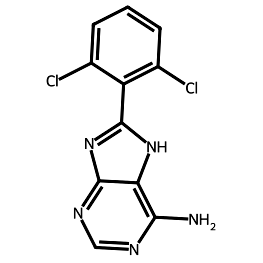 Nc1ncnc2nc(-c3c(Cl)cccc3Cl)[nH]c12